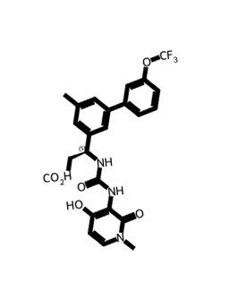 Cc1cc(-c2cccc(OC(F)(F)F)c2)cc([C@H](CC(=O)O)NC(=O)Nc2c(O)ccn(C)c2=O)c1